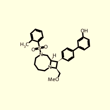 COC[C@@H]1[C@@H](c2ccc(-c3cccc(O)c3)cc2)[C@@H]2CN(S(=O)(=O)c3ccccc3C)CCCCN12